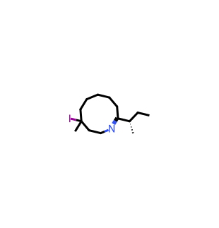 CC[C@H](C)/C1=N/CCC(C)(I)CCCCC1